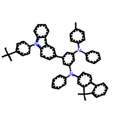 Cc1ccc(N(c2ccccc2)c2cc(-c3ccc4c(c3)c3ccccc3n4-c3ccc(C(C)(C)C)cc3)cc(N(c3ccccc3)c3ccc4c(c3)C(C)(C)c3ccccc3-4)c2)cc1